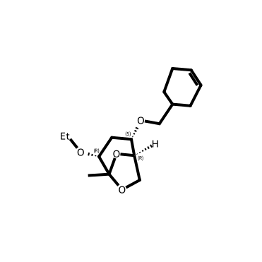 CCO[C@@H]1C[C@H](OCC2CC=CCC2)[C@H]2COC1(C)O2